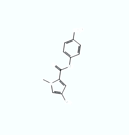 CCOC(=O)c1ccc(NC(=O)c2cc([N+](=O)[O-])cn2C)cc1